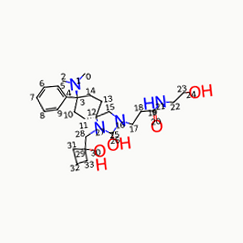 CN(C)[C@]1(c2ccccc2)CC[C@]2(CC1)CN(CCC(=O)NCCO)C(O)N2CC1(O)CCC1